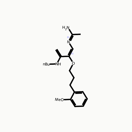 C=C(NCCCC)/C(=C\N=C(/C)N)OCCCc1ccccc1OC